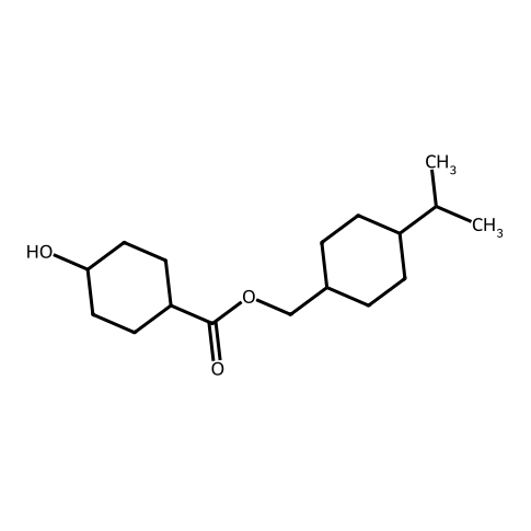 CC(C)C1CCC(COC(=O)C2CCC(O)CC2)CC1